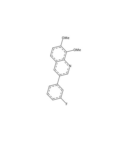 COc1ccc2cc(-c3cccc(F)c3)cnc2c1OC